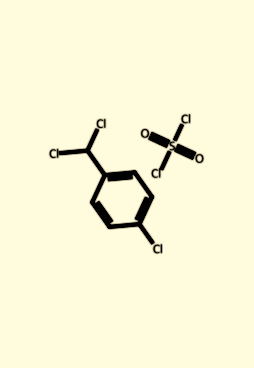 Clc1ccc(C(Cl)Cl)cc1.O=S(=O)(Cl)Cl